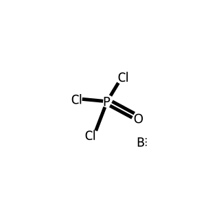 O=P(Cl)(Cl)Cl.[B]